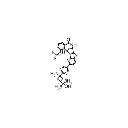 BC(B)(O)[C@]1(C)C[C@@](N)(c2ncc(-c3ccc4nc5n(c4n3)[C@@H]3CC5NC(=O)c4cccc(OC(F)F)c43)cn2)C1